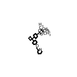 CC1(C)OB(c2ccc(C3(c4ccc(OCc5ccccn5)cc4)CCC3)cc2)OC1(C)C